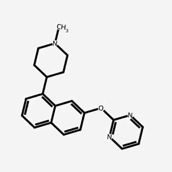 CN1CCC(c2cccc3ccc(Oc4ncccn4)cc23)CC1